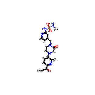 CCNS(=O)(=O)Nc1cc(CN2CCN(c3ccc(C(=O)NC)nc3C)CC2=O)ccn1